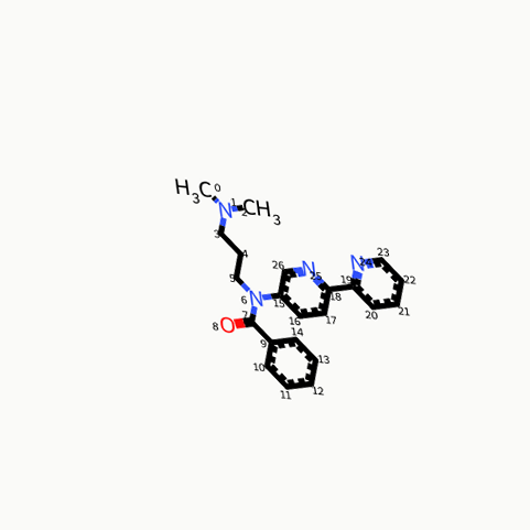 CN(C)CCCN(C(=O)c1ccccc1)c1ccc(-c2ccccn2)nc1